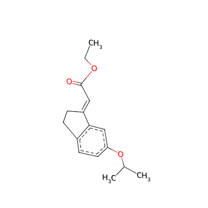 CCOC(=O)/C=C1\CCc2ccc(OC(C)C)cc21